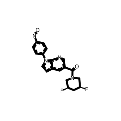 O=Nc1ccc(-n2ccc3cc(C(=O)N4C[C@H](F)C[C@H](F)C4)cnc32)cc1